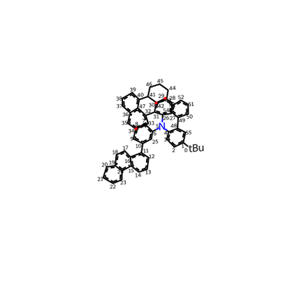 CC(C)(C)c1ccc(N(c2cccc(-c3cccc4c3ccc3ccccc34)c2)c2ccccc2-c2cccc3cccc(C4CCCCC4)c23)c(-c2ccccc2)c1